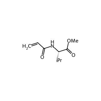 C=CC(=O)N[C@H](C(=O)OC)C(C)C